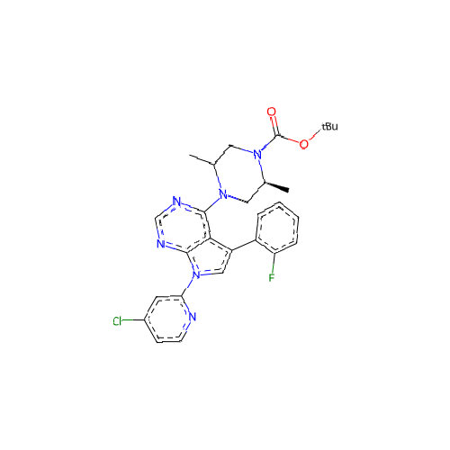 CC1CN(C(=O)OC(C)(C)C)[C@@H](C)CN1c1ncnc2c1c(-c1ccccc1F)cn2-c1cc(Cl)ccn1